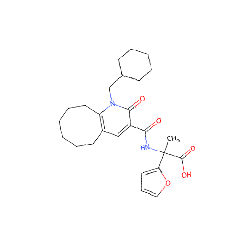 CC(NC(=O)c1cc2c(n(CC3CCCCC3)c1=O)CCCCCC2)(C(=O)O)c1ccco1